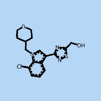 OCc1nc(-c2cn(CC3CCOCC3)c3c(Cl)cccc23)ns1